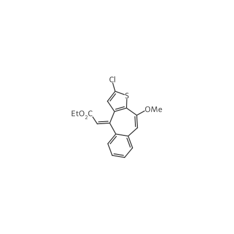 CCOC(=O)/C=C1/c2ccccc2C=C(OC)c2sc(Cl)cc21